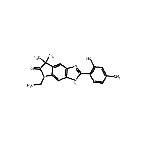 CCN1C(=O)C(C)(C)c2cc3nc(-c4ccc(C)cc4S)[nH]c3cc21